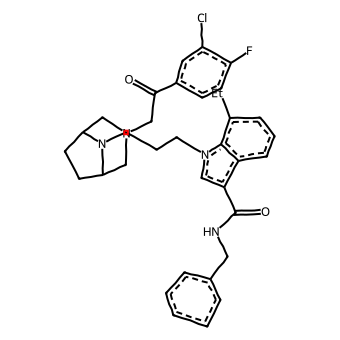 CCc1cccc2c(C(=O)NCc3ccccc3)cn(CCCN3C4CCC3CN(CC(=O)c3ccc(F)c(Cl)c3)C4)c12